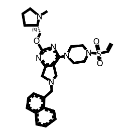 C=CS(=O)(=O)N1CCN(c2nc(OC[C@@H]3CCCN3C)nc3c2CN(Cc2cccc4ccccc24)C3)CC1